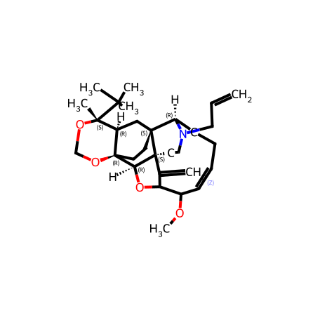 C=CCN1CC[C@]23C(=C)C4O[C@H]2[C@@]25CC[C@@]3(C[C@@H]2[C@@](C)(C(C)(C)C)OCO5)[C@H]1CC/C=C\C4OC